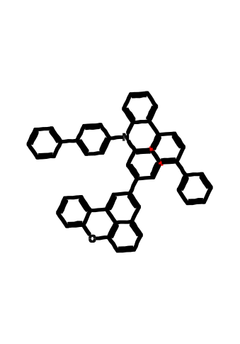 c1ccc(-c2ccc(-c3ccccc3N(c3ccc(-c4ccccc4)cc3)c3cccc(-c4cc5c6c(cccc6c4)Oc4ccccc4-5)c3)cc2)cc1